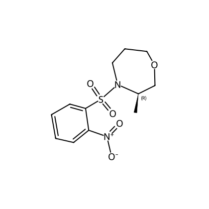 C[C@@H]1COCCCN1S(=O)(=O)c1ccccc1[N+](=O)[O-]